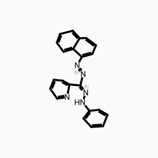 c1ccc(N/N=C(/N=N/c2cccc3ccccc23)c2ccccn2)cc1